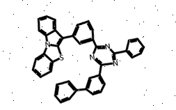 c1ccc(-c2cccc(-c3nc(-c4ccccc4)nc(-c4cccc(-c5c6ccccc6n6c5sc5ccccc56)c4)n3)c2)cc1